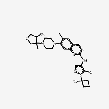 CCC1(n2ncc(Nc3ncc4cc(C)c(N5CCN(C6(C)COCC6O)CC5)cc4n3)c2Cl)CCC1